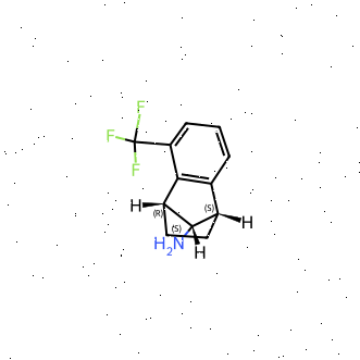 N[C@@H]1[C@@H]2CC[C@H]1c1cccc(C(F)(F)F)c12